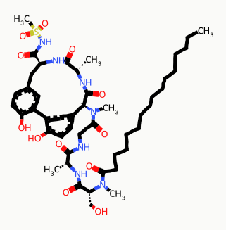 CCCCCCCCCCCCCCCC(=O)N(C)[C@H](CO)C(=O)N[C@H](C)C(=O)NCC(=O)N(C)[C@@H]1C(=O)N[C@@H](C)C(=O)N[C@H](C(=O)NS(C)(=O)=O)Cc2ccc(O)c(c2)-c2cc1ccc2O